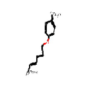 CCCCCC=CCCCOc1ccc(C(=O)O)cc1